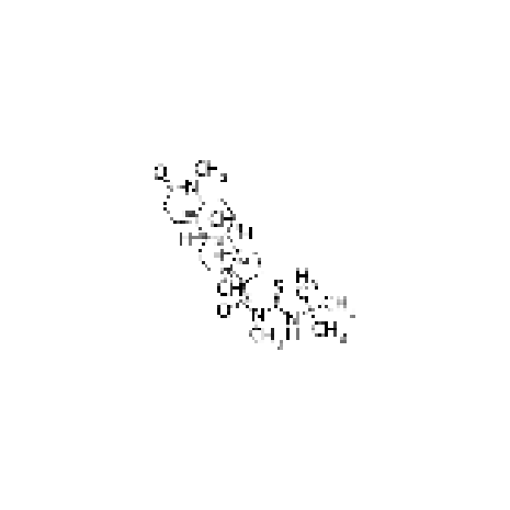 CN(C(=O)C1CC[C@H]2[C@@H]3CCC4N(C)C(=O)CC[C@]4(C)[C@@H]3CC[C@]12C)C(=S)NC(C)(C)C